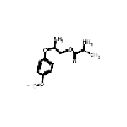 COc1ccc(O[C@@H](C)COC(=O)[C@H](C)N)cc1